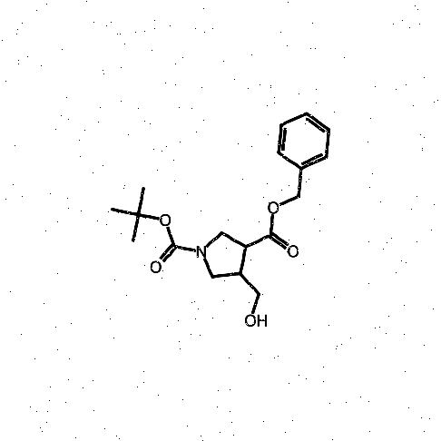 CC(C)(C)OC(=O)N1CC(CO)C(C(=O)OCc2ccccc2)C1